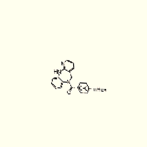 CCCCCC[C@]12CC[C@](C(=O)N3Cc4cccnc4Nc4ccccc43)(CC1)CC2